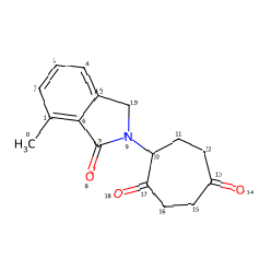 Cc1cccc2c1C(=O)N(C1CCC(=O)CCC1=O)C2